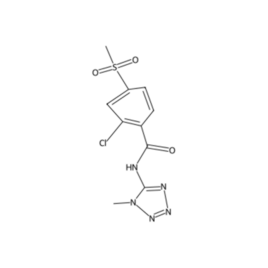 Cn1nnnc1NC(=O)c1ccc(S(C)(=O)=O)cc1Cl